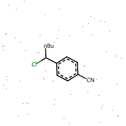 CCCCC(Cl)c1ccc(C#N)cc1